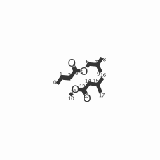 CC=CC(=O)OCC(C)C.COC(=O)CC(C)C